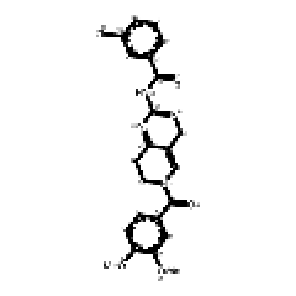 COc1ccc(C(=O)N2C=C3CN=C(NC(=O)c4cccc(Cl)c4)N=C3CC2)cc1OC